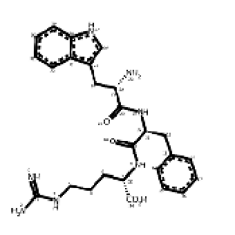 N=C(N)NCCC[C@H](NC(=O)[C@H](Cc1ccccc1)NC(=O)[C@@H](N)Cc1c[nH]c2ccccc12)C(=O)O